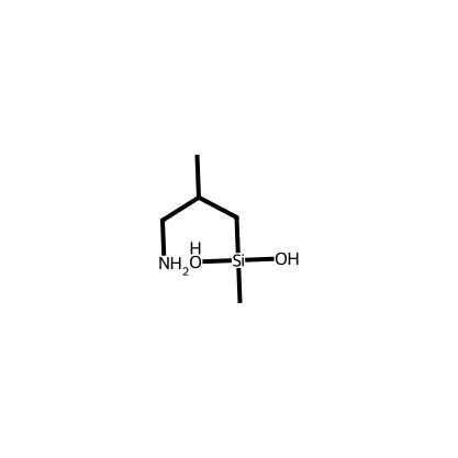 CC(CN)C[Si](C)(O)O